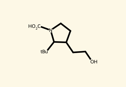 CC(C)(C)C1C(CCO)CCN1C(=O)O